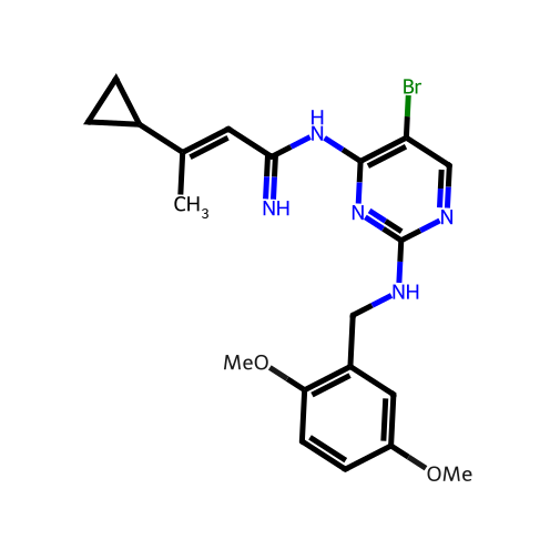 COc1ccc(OC)c(CNc2ncc(Br)c(NC(=N)/C=C(\C)C3CC3)n2)c1